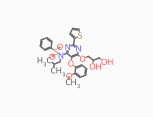 COc1ccccc1Oc1c(OCC(O)CO)nc(-c2cccs2)nc1N(CC(C)C)S(=O)(=O)c1ccccc1